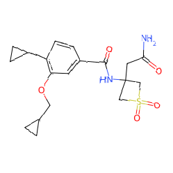 NC(=O)CC1(NC(=O)c2ccc(C3CC3)c(OCC3CC3)c2)CS(=O)(=O)C1